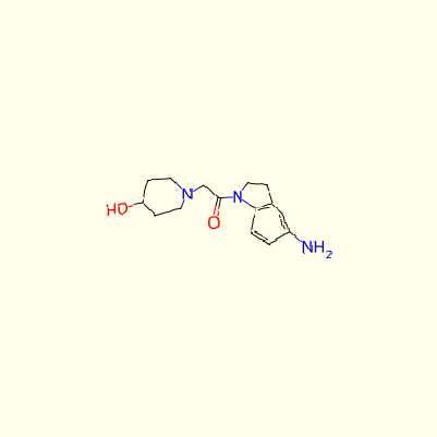 Nc1ccc2c(c1)CCN2C(=O)CN1CCC(O)CC1